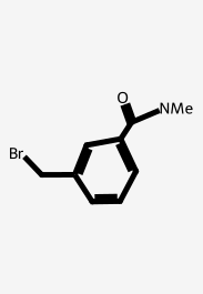 CNC(=O)c1cccc(CBr)c1